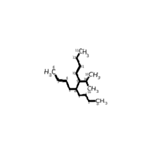 CCCC[C](CCCC)C(CCCC)C(C)C